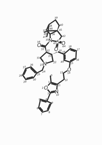 Cc1oc(-c2ccccc2)nc1CCOc1cccc(C[C@@H]2CN(Cc3ccccc3)C[C@H]2C(=O)N2C3CC4CC[C@]3(CS2(=O)=O)C4(C)C)c1